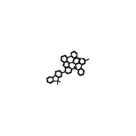 Cc1cccc(-c2ccccc2N(c2ccc(-c3ccc4c(c3)C(C)(C)c3ccccc3-4)cc2)c2ccccc2-c2cccc3cccc(-c4ccccc4)c23)c1